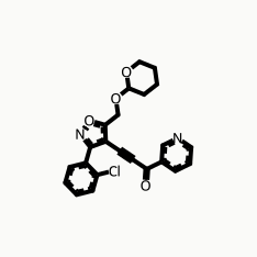 O=C(C#Cc1c(-c2ccccc2Cl)noc1COC1CCCCO1)c1cccnc1